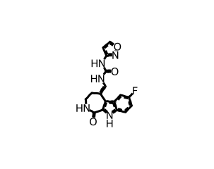 O=C(NC=C1CCNC(=O)c2[nH]c3ccc(F)cc3c21)Nc1ccon1